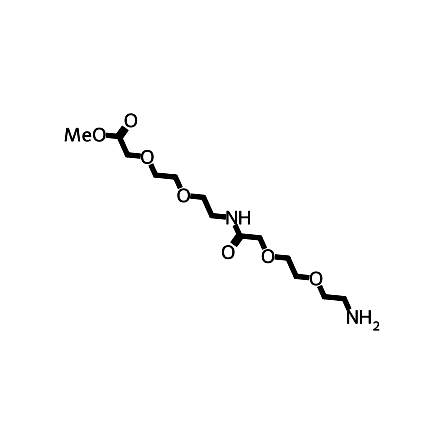 COC(=O)COCCOCCNC(=O)COCCOCCN